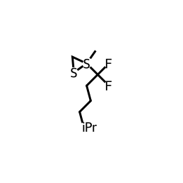 CC(C)CCCC(F)(F)S1(C)CS1